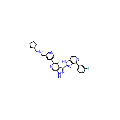 Fc1cccc(-c2nccc3[nH]c(-c4n[nH]c5cnc(-c6cncc(CNCC7CCCC7)c6)c(F)c45)nc23)c1